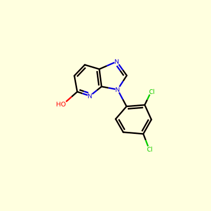 Oc1ccc2ncn(-c3ccc(Cl)cc3Cl)c2n1